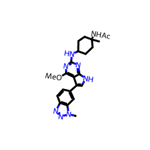 COc1nc(NC2CCC(C)(NC(C)=O)CC2)nc2[nH]cc(-c3ccc4nnn(C)c4c3)c12